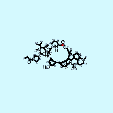 C=CC(=O)N1CC[C@H](C(=O)N(C)C(C(=O)N[C@H]2Cc3cc(O)cc(c3)-c3ccc4c(c3)c(c(-c3ccnc5c3[C@@H](OC)CCN5C)n4CC)CC(C)(C)COC(=O)[C@@H]3CCCN(N3)C2=O)C(C)C)C1